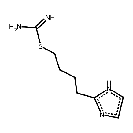 N=C(N)SCCCCc1ncc[nH]1